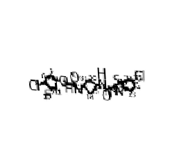 O=C(COc1ccc(Cl)c(F)c1)NC1CCC(NC(=O)c2nc3ccc(Cl)cc3s2)CC1